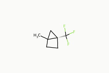 CC12CC[C@]1(C(F)(F)F)C2